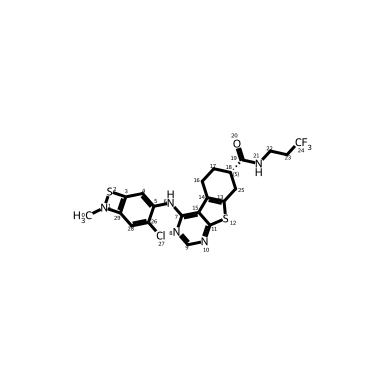 Cn1sc2cc(Nc3ncnc4sc5c(c34)CC[C@H](C(=O)NCCC(F)(F)F)C5)c(Cl)cc21